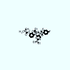 CCC(=O)Oc1c(Nc2nc(N(CC)CC)ncc2N(C)S(=O)(=O)c2ccc(F)cc2F)cccc1OC(=O)N(C)C